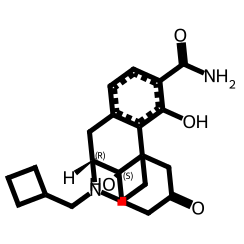 NC(=O)c1ccc2c(c1O)C13CCN(CC4CCC4)[C@H](C2)[C@]1(O)CCC(=O)C3